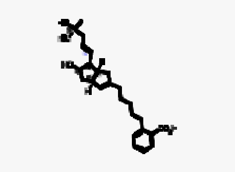 CCCC[C@@](C)(O)C/C=C/[C@H]1[C@H]2CC(CCCCCc3ccccc3C(=O)O)=C[C@H]2C[C@H]1O